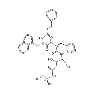 CCC(C)[C@@H](CO)NC(=O)CC(O)C(CC(C)C)NC(=O)[C@H](Cc1ccncc1)NC(=O)[C@H](Cc1cccc2ccccc12)NC(=O)OCc1ccccc1